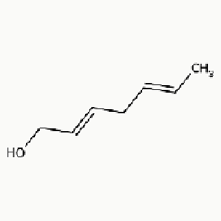 CC=CCC=CCO